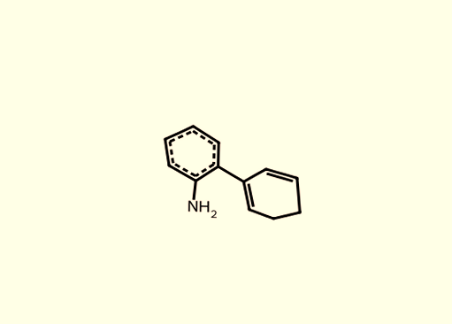 Nc1ccccc1C1=CCCC=C1